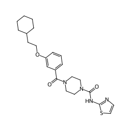 O=C(Nc1nccs1)N1CCN(C(=O)c2cccc(OCCC3CCCCC3)c2)CC1